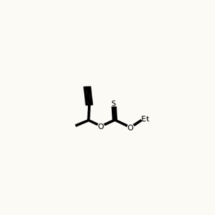 C#CC(C)OC(=S)OCC